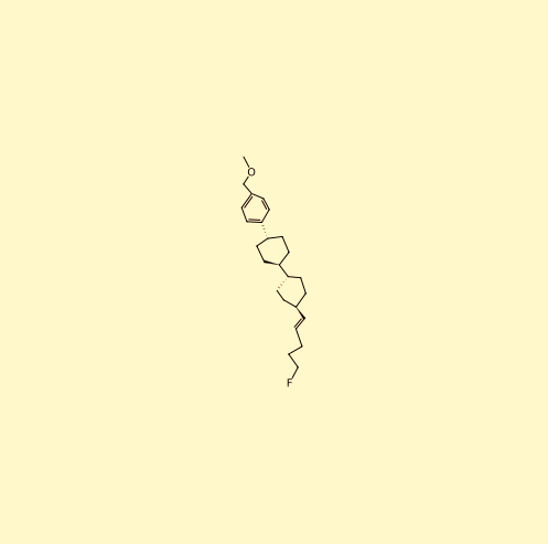 COCc1ccc([C@H]2CC[C@H]([C@H]3CC[C@H](C=CCCCF)CC3)CC2)cc1